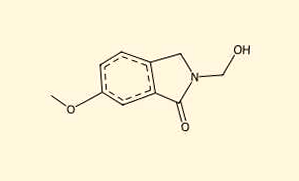 COc1ccc2c(c1)C(=O)N(CO)C2